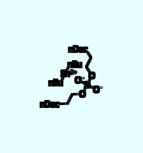 CCCCCCCCCCCCO[Si]([O-])([O-])OCCCCCCCCCCCC.CCC[CH2][Sn+2][CH2]CCC